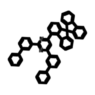 c1ccc(-c2cccc(-c3cc(-c4cccc5c4-c4ccccc4C54c5ccccc5-c5ccccc54)nc(-c4cccc(-c5ccccc5)c4)n3)c2)cc1